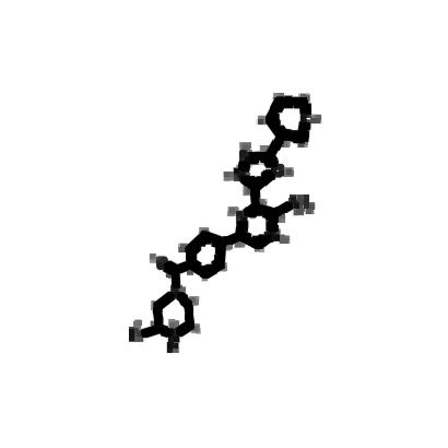 CCC1CN(C(=O)c2ccc(-c3cnc(N)c(-c4nnc(-c5ccccc5)o4)n3)cc2)CCN1